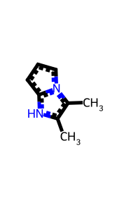 Cc1[nH]c2cccn2c1C